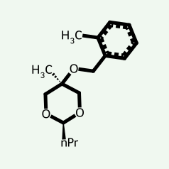 CCC[C@H]1OC[C@@](C)(OCc2ccccc2C)CO1